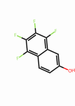 Oc1ccc2c(F)c(F)c(F)c(F)c2c1